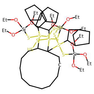 CCO[Si](OCC)(OCC)SS(SS)(C1CC2CCC1C2)C1CCCCCCCCCCC1(S(SS)(S[Si](OCC)(OCC)OCC)C1CC2CCC1C2)S(SS)(S[Si](OCC)(OCC)OCC)C1CC2CCC1C2